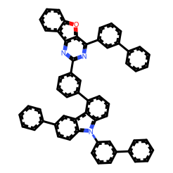 c1ccc(-c2cccc(-c3nc(-c4cccc(-c5cccc6c5c5cc(-c7ccccc7)ccc5n6-c5cccc(-c6ccccc6)c5)c4)nc4c3oc3ccccc34)c2)cc1